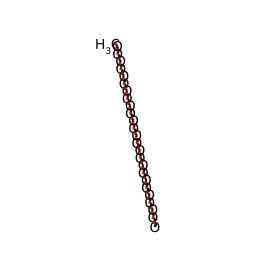 COCCOCCOCCOCCOCCOCCOCCOCCOCCOCCOCCOCCOCCOCCOCCOCCOCCOCCOCCOCCOCCOCCOCCOCCC=O